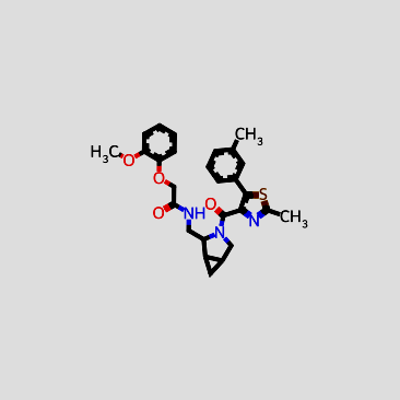 COc1ccccc1OCC(=O)NCC1C2CC2CN1C(=O)c1nc(C)sc1-c1cccc(C)c1